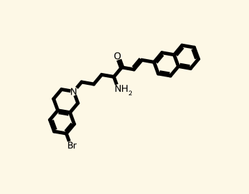 NC(CCCN1CCc2ccc(Br)cc2C1)C(=O)/C=C/c1ccc2ccccc2c1